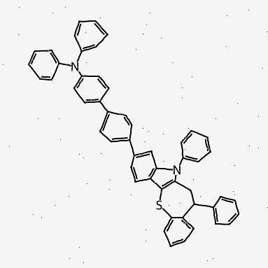 c1ccc(C2Cc3c(c4ccc(-c5ccc(-c6ccc(N(c7ccccc7)c7ccccc7)cc6)cc5)cc4n3-c3ccccc3)Sc3ccccc32)cc1